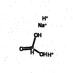 O=[PH](O)O.[H+].[H+].[Na+]